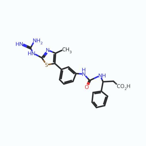 Cc1nc(NC(=N)N)sc1-c1cccc(NC(=O)NC(CC(=O)O)c2ccccc2)c1